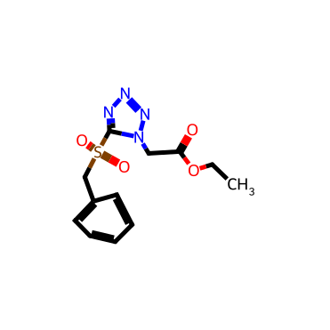 CCOC(=O)Cn1nnnc1S(=O)(=O)Cc1ccccc1